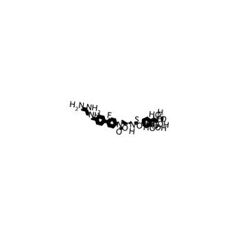 N/C=C(\N)CNCc1ccc(-c2ccc(N3C[C@H](CNC(=S)Oc4ccc(CC(O)([PH](=O)O)[PH](O)(O)O)cc4)OC3=O)cc2F)cc1